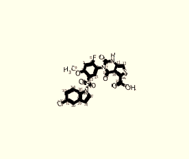 COc1cc(F)c(-n2c(=O)[nH]c3csc(C(=O)O)c3c2=O)cc1S(=O)(=O)n1ccc2cc(Cl)ccc21